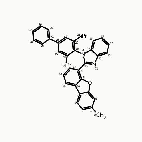 Cc1ccc2c(c1)oc1c(-c3nc4ccccc4n3-c3c(C(C)C)cc(-c4ccccc4)cc3C(C)C)cccc12